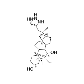 CC[C@H]1[C@@H](O)C2C3CC[C@H]([C@H](C)CC4=NNNN4)[C@@]3(C)CCC2[C@@]2(C)CC[C@@H](O)C[C@@H]12